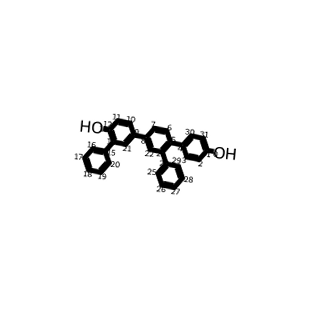 Oc1ccc(-c2ccc(-c3ccc(O)c(-c4ccccc4)c3)cc2-c2ccccc2)cc1